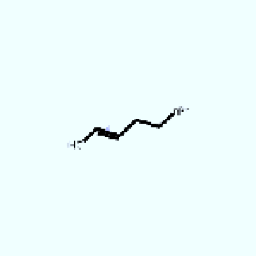 [CH]/C=C/CCCCC